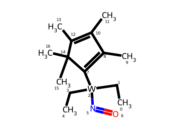 C[CH2][W]([CH2]C)([N]=O)[C]1=C(C)C(C)=C(C)C1(C)C